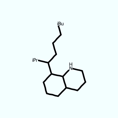 CCC(C)CCCC(C(C)C)C1CCCC2CCCNC21